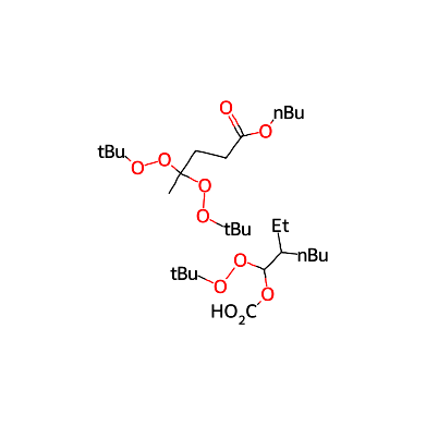 CCCCC(CC)C(OOC(C)(C)C)OC(=O)O.CCCCOC(=O)CCC(C)(OOC(C)(C)C)OOC(C)(C)C